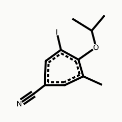 Cc1cc(C#N)cc(I)c1OC(C)C